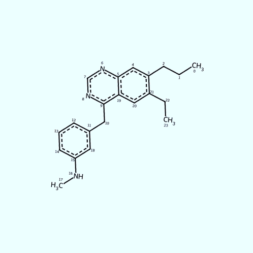 CCCc1cc2ncnc(Cc3cccc(NC)c3)c2cc1CC